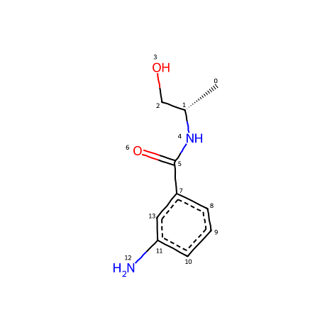 C[C@@H](CO)NC(=O)c1cccc(N)c1